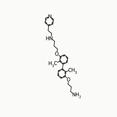 Cc1c(OCCCN)cccc1-c1cccc(OCCCNCCc2ccncc2)c1C